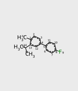 Cc1ccc(-c2ccc(F)cc2)cc1C(C)C